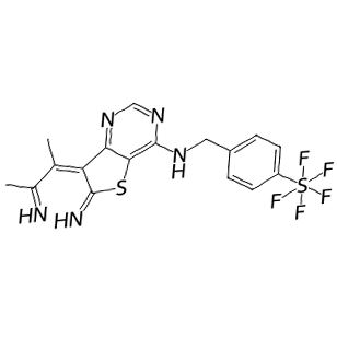 CC(=N)/C(C)=C1\C(=N)Sc2c(NCc3ccc(S(F)(F)(F)(F)F)cc3)ncnc21